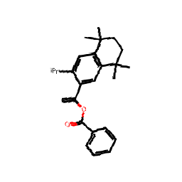 C=C(OC(=O)c1ccccc1)c1cc2c(cc1C(C)C)C(C)(C)CCC2(C)C